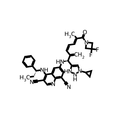 C=C(/C=C\C=C(/C)C(=O)N1CC(F)(F)C1)[C@H](Nc1cc(C#N)c2ncc(C#N)c(N[C@H](CC)c3ccccc3)c2c1)C1=CN(C2CC2)NN1